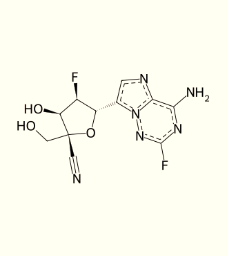 N#C[C@]1(CO)O[C@@H](c2cnc3c(N)nc(F)nn23)[C@H](F)[C@@H]1O